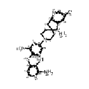 Nc1nc(N2CCC3(CC2)Cc2ncc(Cl)cc2[C@H]3N)cnc1Sc1ccnc(N)c1Cl